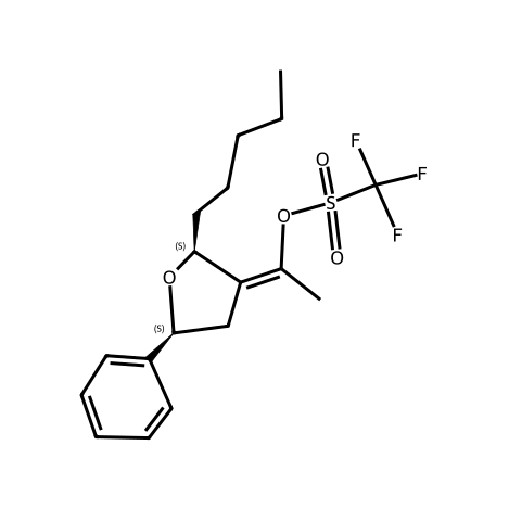 CCCCC[C@@H]1O[C@H](c2ccccc2)CC1=C(C)OS(=O)(=O)C(F)(F)F